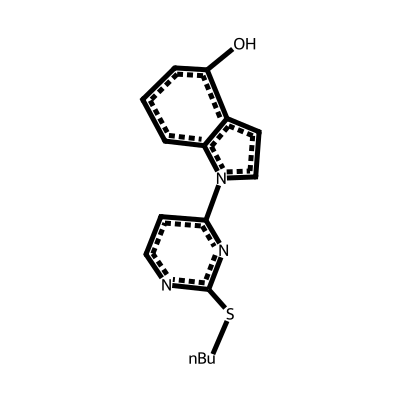 CCCCSc1nccc(-n2ccc3c(O)cccc32)n1